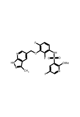 COc1ncc(F)cc1S(=O)(=O)Nc1ccc(F)c(OCc2cnc3[nH]nc(C)c3c2)c1F